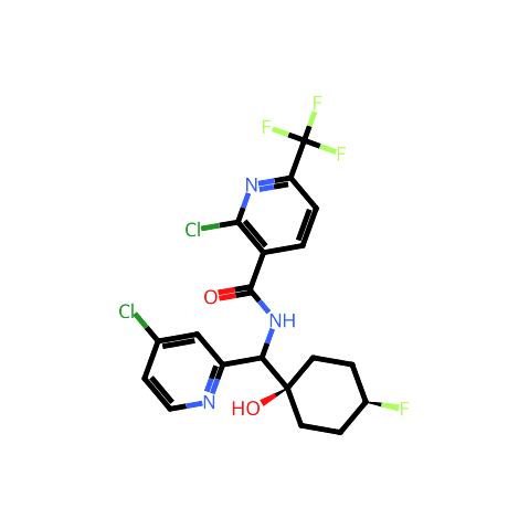 O=C(NC(c1cc(Cl)ccn1)[C@]1(O)CC[C@@H](F)CC1)c1ccc(C(F)(F)F)nc1Cl